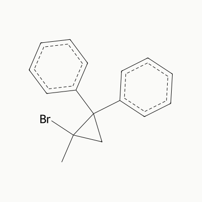 CC1(Br)CC1(c1ccccc1)c1ccccc1